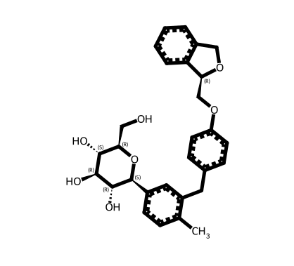 Cc1ccc([C@@H]2O[C@H](CO)[C@@H](O)[C@H](O)[C@H]2O)cc1Cc1ccc(OC[C@@H]2OCc3ccccc32)cc1